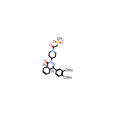 COc1ccc(C2=NN(C3CCN(C(=O)CS(C)(=O)=O)CC3)C(=O)[C@@H]3CC=CC[C@H]23)cc1OC